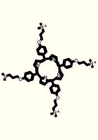 CN(C)CCCOc1ccc(-c2c3nc(c(-c4ccc(OCCC[N+](C)(C)C)cc4)c4ccc([nH]4)c(-c4ccc(OCCC[N+](C)(C)C)cc4)c4nc(c(-c5ccc(OCCC[N+](C)(C)C)cc5)c5ccc2[nH]5)C=C4)C=C3)cc1